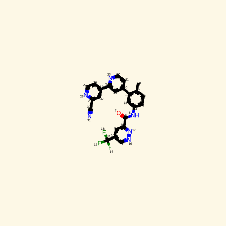 Cc1ccc(NC(=O)c2cc(C(F)(F)F)cnn2)cc1-c1ccnc(-c2ccnc(C#N)c2)c1